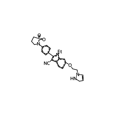 CCn1c(-c2ccc(N3CCCS3(=O)=O)cc2)c(C#N)c2ccc(OCCN3C=CCN3)cc21